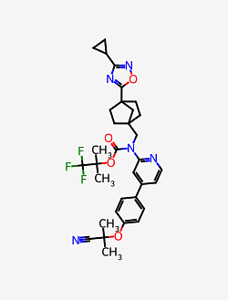 CC(C)(C#N)Oc1ccc(-c2ccnc(N(CC34CCC(c5nc(C6CC6)no5)(CC3)C4)C(=O)OC(C)(C)C(F)(F)F)c2)cc1